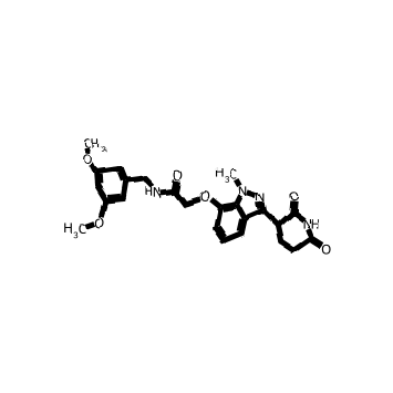 COc1cc(CNC(=O)COc2cccc3c(C4CCC(=O)NC4=O)nn(C)c23)cc(OC)c1